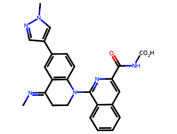 CN=C1CCN(c2nc(C(=O)NC(=O)O)cc3ccccc23)c2ccc(-c3cnn(C)c3)cc21